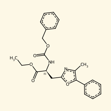 CCOC(=O)[C@H](Cc1nc(C)c(-c2ccccc2)o1)NC(=O)OCc1ccccc1